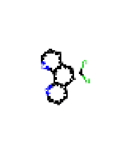 ClCCl.c1cnc2c(c1)ccc1cccnc12